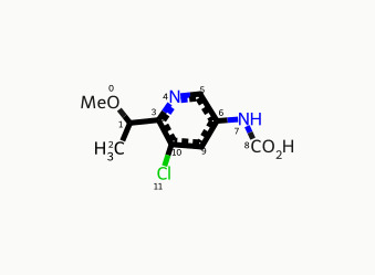 COC(C)c1ncc(NC(=O)O)cc1Cl